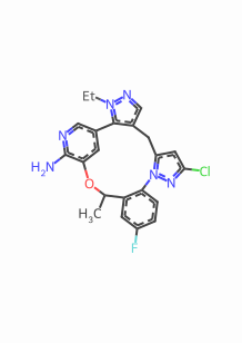 CCn1ncc2c1-c1cnc(N)c(c1)OC(C)c1cc(F)ccc1-n1nc(Cl)cc1C2